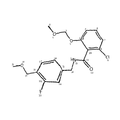 COCOc1cccc(Cl)c1C(=O)NCc1ccc(COC)c(F)c1